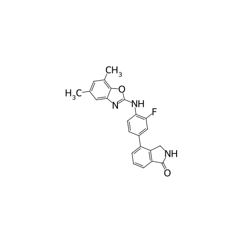 Cc1cc(C)c2oc(Nc3ccc(-c4cccc5c4CNC5=O)cc3F)nc2c1